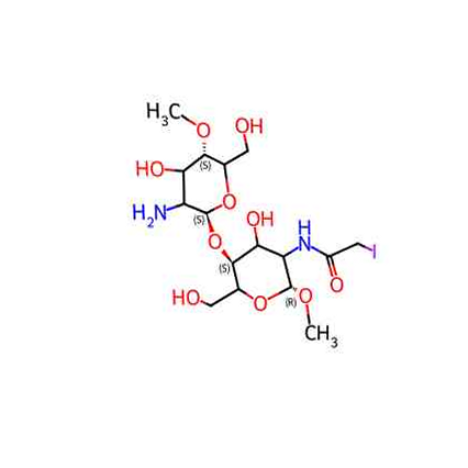 CO[C@@H]1OC(CO)[C@@H](O[C@@H]2OC(CO)[C@@H](OC)C(O)C2N)C(O)C1NC(=O)CI